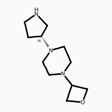 C1C[C@@H](N2CCN(C3COC3)CC2)CN1